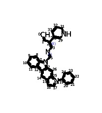 C=C/C(=C\N=C\n1c2ccccc2c2cc3ccn(-c4ccccc4)c3cc21)C1=CNCC=C1